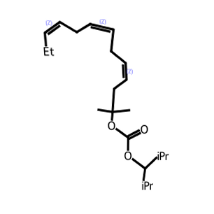 CC/C=C\C/C=C\C/C=C\CC(C)(C)OC(=O)OC(C(C)C)C(C)C